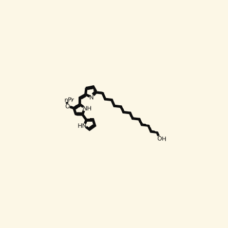 CCCOc1cc(-c2ccc[nH]2)[nH]c1C=C1C=CC(CCCCCCCCCCCCCO)=N1